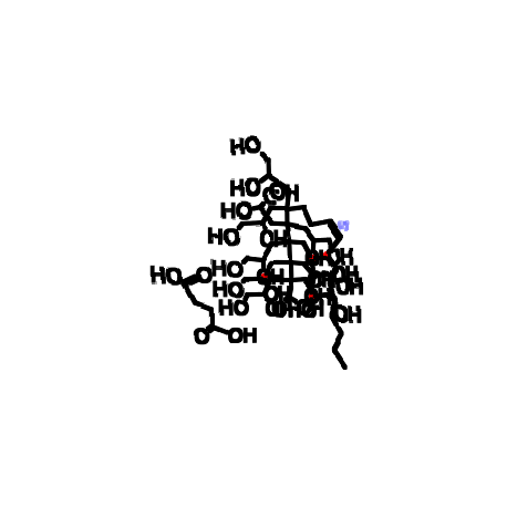 CCCCCCCC/C=C\CCC(CC(O)CO)(CC(O)CO)C(CC(O)CO)(CC(O)CO)C(CC(O)CO)(CC(O)CO)C(CC(O)CO)(CC(O)CO)C(CC(O)CO)(CC(O)CO)C(=O)O.O=C(O)CCC(=O)O